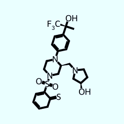 C[C@@](O)(c1ccc(N2CCN(S(=O)(=O)C3=CC=CCC3=S)C[C@@H]2CN2CC[C@@H](O)C2)cc1)C(F)(F)F